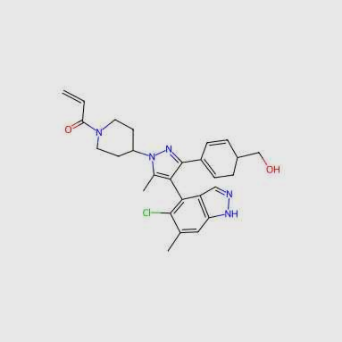 C=CC(=O)N1CCC(n2nc(C3=CCC(CO)C=C3)c(-c3c(Cl)c(C)cc4[nH]ncc34)c2C)CC1